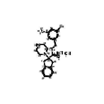 Cl.Cl.O=C(NCc1cc(F)cc(C(F)(F)F)c1)C1(N2CCNCC2)Cc2ccccc2C1